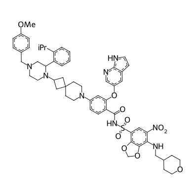 COc1ccc(CN2CCN(C3CC4(CCN(c5ccc(C(=O)NS(=O)(=O)c6cc([N+](=O)[O-])c(NCC7CCOCC7)c7c6OCO7)c(Oc6cnc7[nH]ccc7c6)c5)CC4)C3)C(c3ccccc3C(C)C)C2)cc1